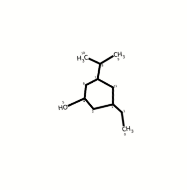 CCC1CC(O)CC(C(C)C)C1